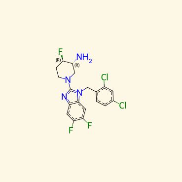 N[C@@H]1CN(c2nc3cc(F)c(F)cc3n2Cc2ccc(Cl)cc2Cl)CC[C@H]1F